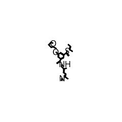 C=N/C(C)=C\C=C(/C)CNC(=C)c1cc(OCC2CCCO2)cc(C(=C)S/C(C)=C\C)c1